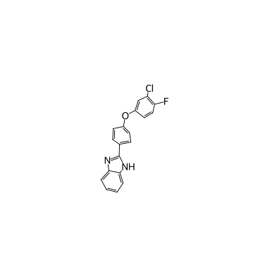 Fc1ccc(Oc2ccc(-c3nc4ccccc4[nH]3)cc2)cc1Cl